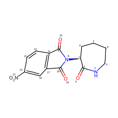 O=C1NCCCC[C@@H]1N1C(=O)c2ccc([N+](=O)[O-])cc2C1=O